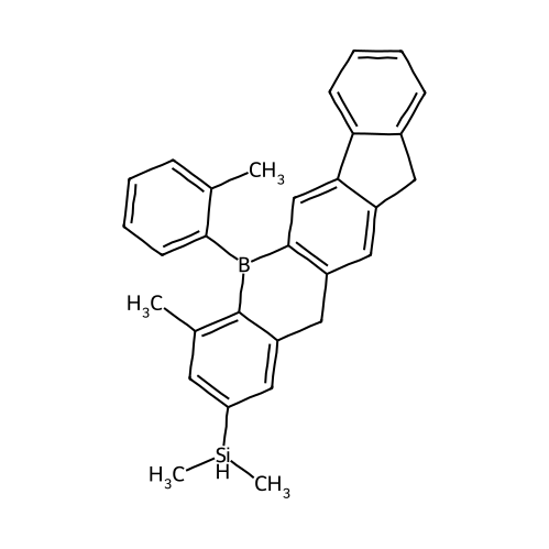 Cc1ccccc1B1c2cc3c(cc2Cc2cc([SiH](C)C)cc(C)c21)Cc1ccccc1-3